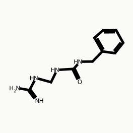 N=C(N)NCNC(=O)NCc1ccccc1